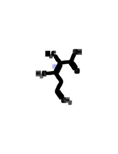 C=CC/C(C)=C(/C)C(=O)O